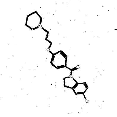 O=C(c1ccc(OCCCN2CCCCC2)cc1)N1CCc2cc(Br)ccc21